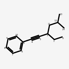 CCC(C#Cc1ccccc1)CC(C)C